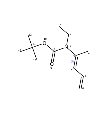 C=C/C=C(\C)N(CC)C(=O)OC(C)(C)C